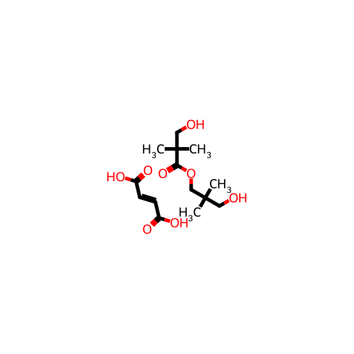 CC(C)(CO)COC(=O)C(C)(C)CO.O=C(O)C=CC(=O)O